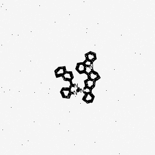 c1ccc2cc(-c3nc(-n4c5ccccc5c5cc6ccc7c(c6cc54)c4cccc5c6ccccc6n7c54)nc4ccccc34)ccc2c1